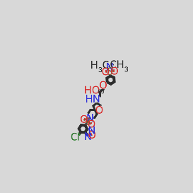 CN(C)S(=O)(=O)c1cccc(OC[C@@H](O)CNC2COC3(CCN(S(=O)(=O)c4ccc(Cl)c5nonc45)CC3)C2)c1